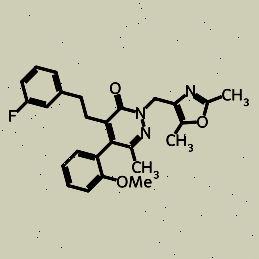 COc1ccccc1-c1c(C)nn(Cc2nc(C)oc2C)c(=O)c1CCc1cccc(F)c1